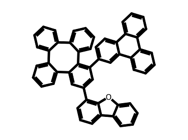 c1ccc2c(c1)-c1ccccc1-c1cc(-c3cccc4c3oc3ccccc34)cc(-c3ccc4c5ccccc5c5ccccc5c4c3)c1-c1ccccc1-2